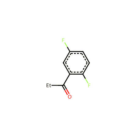 CCC(=O)c1cc(F)ccc1F